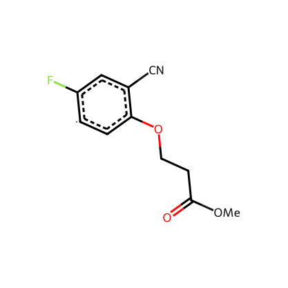 COC(=O)CCOc1c[c]c(F)cc1C#N